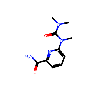 CN(C)C(=O)N(C)c1cc[c]c(C(N)=O)n1